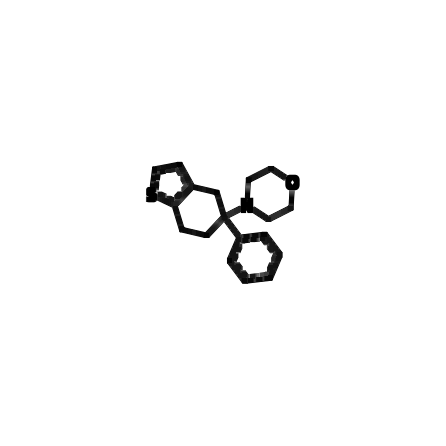 c1ccc(C2(N3CCOCC3)CCc3sccc3C2)cc1